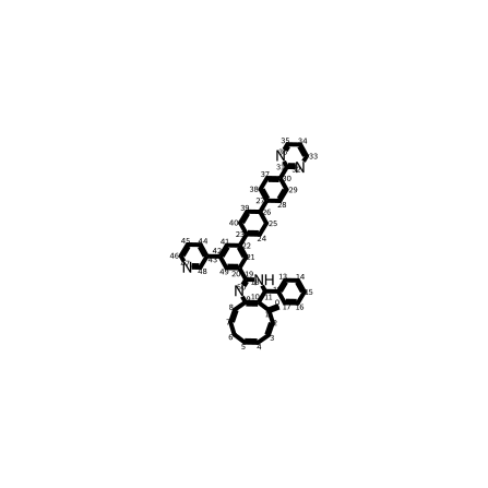 C=C1/C=C\C=C/C/C=C\C2=C1C(c1ccccc1)NC(c1cc(C3=CCC(c4ccc(-c5ncccn5)cc4)C=C3)cc(-c3cccnc3)c1)=N2